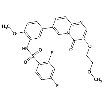 COCCOc1cnc2ccc(-c3ccc(OC)c(NS(=O)(=O)c4ccc(F)cc4F)c3)cn2c1=O